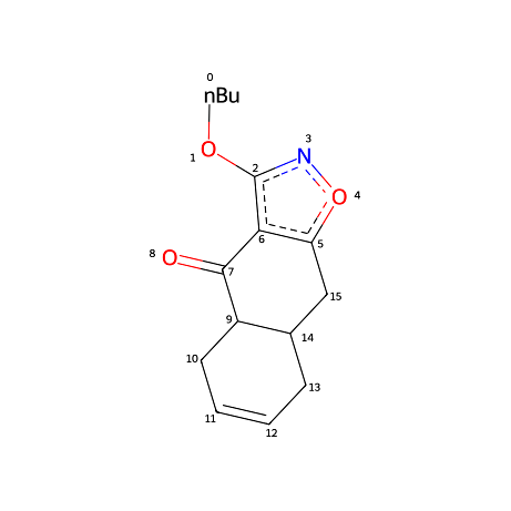 CCCCOc1noc2c1C(=O)C1CC=CCC1C2